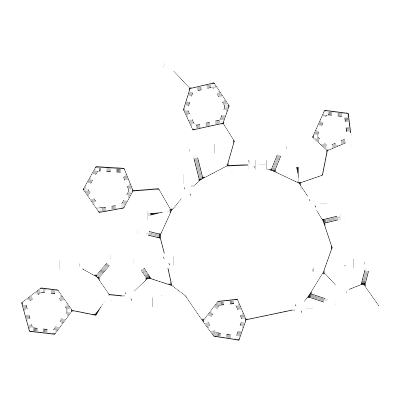 CC(=O)O[C@@H]1CC(=O)N[C@@H](Cc2cccs2)C(=O)N[C@H](Cc2ccc(Br)cc2)C(=O)N[C@@H](Cc2ccccc2)C(=O)N[C@H](C(=O)N[C@@H](Cc2ccccc2)C(=O)O)Cc2ccc(cc2)NC1=O